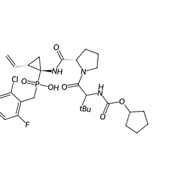 C=C[C@@H]1C[C@]1(NC(=O)[C@@H]1CCCN1C(=O)C(NC(=O)OC1CCCC1)C(C)(C)C)P(=O)(O)Cc1c(F)cccc1Cl